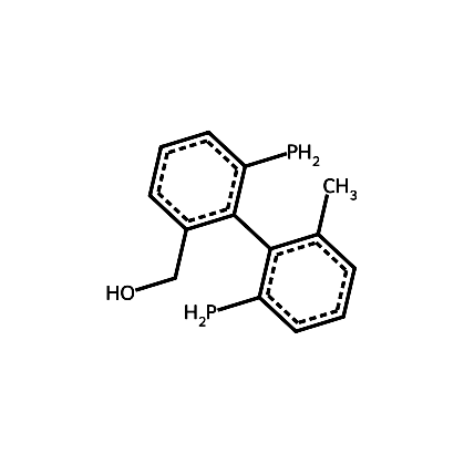 Cc1cccc(P)c1-c1c(P)cccc1CO